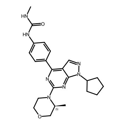 CNC(=O)Nc1ccc(-c2nc(N3CCOC[C@@H]3C)nc3c2cnn3C2CCCC2)cc1